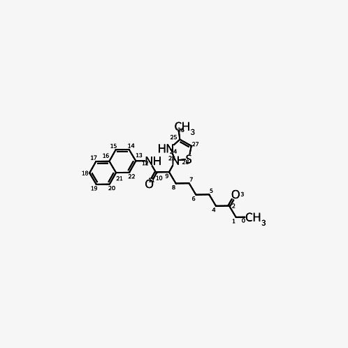 CCC(=O)CCCCCC(C(=O)Nc1ccc2ccccc2c1)N1NC(C)=CS1